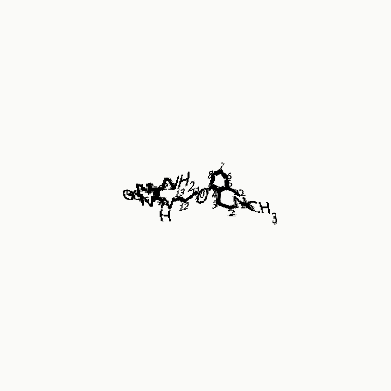 CN1CCc2c(cccc2OCCCNc2n[s+]([O-])nc2N)C1